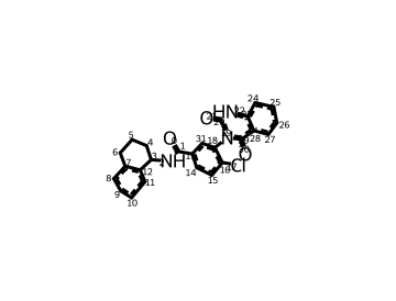 O=C(NC1CCCc2ccccc21)c1ccc(Cl)c(-n2c(=O)[nH]c3ccccc3c2=O)c1